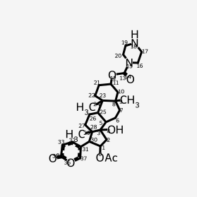 CC(=O)OC1CC2(O)C3CCC4(C)CC(OC(=O)N5CCNCC5)CCC4(C)C3CCC2(C)C1c1ccc(=O)oc1